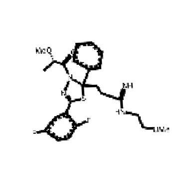 COCCNC(=N)CCC1(c2ccccc2)SC(c2cc(F)ccc2F)=NN1C(=O)[C@H](C)OC